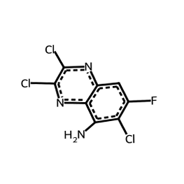 Nc1c(Cl)c(F)cc2nc(Cl)c(Cl)nc12